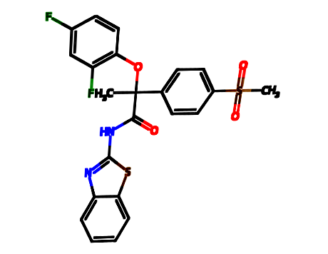 CC(Oc1ccc(F)cc1F)(C(=O)Nc1nc2ccccc2s1)c1ccc(S(C)(=O)=O)cc1